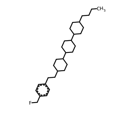 CCCCC1CCC(C2CCC(C3CCC(CCc4ccc(CF)cc4)CC3)CC2)CC1